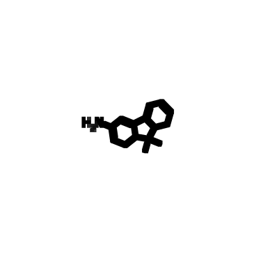 CC1(C)C2CC=CC=C2C2=CC(N)=CCC21